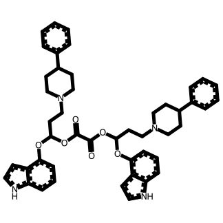 O=C(OC(CCN1CCC(c2ccccc2)CC1)Oc1cccc2[nH]ccc12)C(=O)OC(CCN1CCC(c2ccccc2)CC1)Oc1cccc2[nH]ccc12